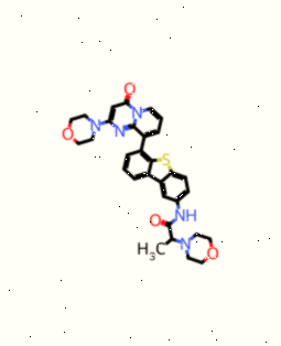 CC(C(=O)Nc1ccc2sc3c(-c4cccn5c(=O)cc(N6CCOCC6)nc45)cccc3c2c1)N1CCOCC1